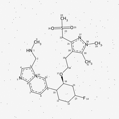 CNCc1cnc2ccc(C3CCC(F)C[C@@H]3OCCc3c(CS(C)(=O)=O)nn(C)c3C)cn12